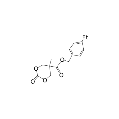 CCc1ccc(COC(=O)C2(C)COC(=O)OC2)cc1